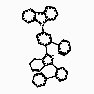 c1cccc(-c2cc(-n3c4ccccc4c4ccccc43)ccc2-c2oc(-c3ccccc3-c3ccccc3)c3c2CCC=C3)c#1